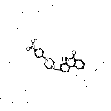 O=c1[nH]c2cc(CN3CCN(c4ccc([N+](=O)[O-])cc4)CC3)ccc2c2ccccc12